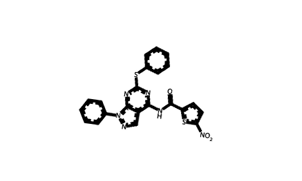 O=C(Nc1nc(Sc2ccccc2)nc2c1cnn2-c1ccccc1)c1ccc([N+](=O)[O-])s1